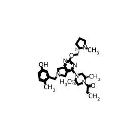 C=CC(=O)N1C[C@H](C)N(c2nc(OC[C@@H]3CCCN3C)nc3c2CN(Cc2cc(O)ccc2C)C3)C[C@H]1C